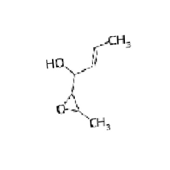 CC=CC(O)C1OC1C